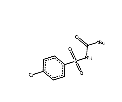 CC(C)(C)C(=O)NS(=O)(=O)c1ccc(Cl)cc1